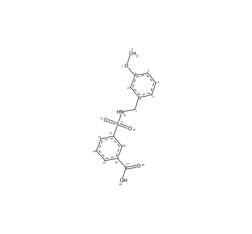 COc1cccc(CNS(=O)(=O)c2cccc(C(=O)O)c2)c1